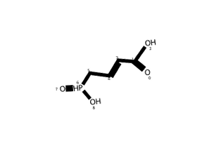 O=C(O)C=CC[PH](=O)O